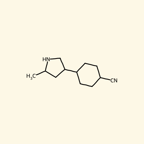 CC1CC(C2CCC(C#N)CC2)CN1